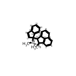 CC1c2cccc3cccc(c23)C1[C]1([Zr]([CH3])[CH3])C=Cc2ccccc21